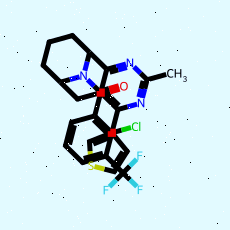 Cc1nc(-c2ccsc2)c2c(n1)C1CCCC(C2)N1C(=O)c1cccc(C(F)(F)F)c1Cl